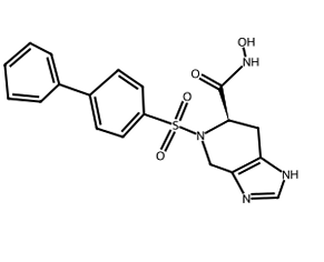 O=C(NO)[C@H]1Cc2[nH]cnc2CN1S(=O)(=O)c1ccc(-c2ccccc2)cc1